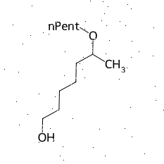 CCCCCOC(C)CCCCCO